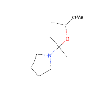 COC(C)OC(C)(C)N1CCCC1